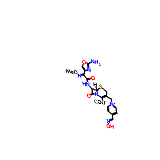 CON=C(C(=O)NC1C(=O)N2C(C(=O)[O-])=C(C[n+]3ccc(C=NO)cc3)CS[C@@H]12)c1coc(N)n1